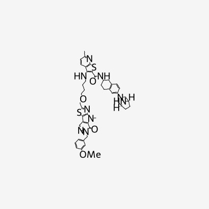 COc1cccc(Cn2ncc3c4sc(COCCCCNc5c(C(=O)N[C@H]6CCc7cc(N8C[C@H]9CC[C@@H](C8)N9)ccc7C6)sc6nc(C)ccc56)nc4n(C)c3c2=O)c1